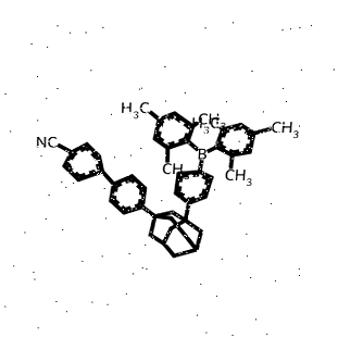 Cc1cc(C)c(B(c2ccc(C34CC5CC(C3)CC(c3ccc(-c6ccc(C#N)cc6)cc3)(C5)C4)cc2)c2c(C)cc(C)cc2C)c(C)c1